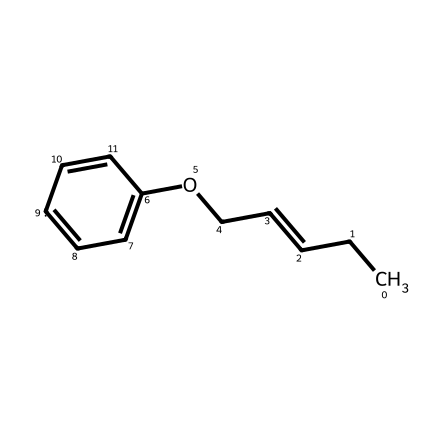 CCC=CCOc1cc[c]cc1